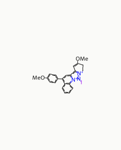 COC1=Cc2c3cc(-c4ccc(OC)cc4)c4ccccc4[n+]3n(I)[n+]2CC1